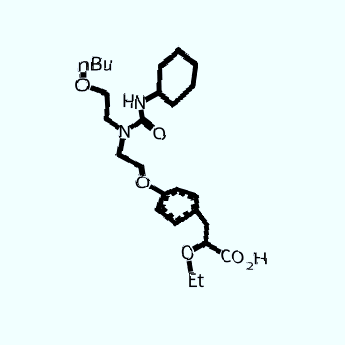 CCCCOCCN(CCOc1ccc(CC(OCC)C(=O)O)cc1)C(=O)NC1CCCCC1